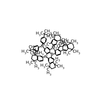 Cc1cc2c(cc1N1c3cc(N(c4ccc(C(C)(C)C)cc4)c4ccc(C(C)(C)C)cc4)cc4c3B(c3cc5c(cc3N4c3ccc4c(c3)C(C)(C)CCC4(C)C)C(C)(C)CCC5(C)C)c3ccc4c(c31)C(C)(C)c1cc3c(cc1-4)C(C)(C)CCC3(C)C)C(C)(C)CCC2(C)C